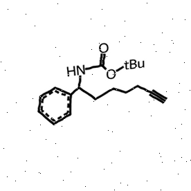 C#CCCCCC(NC(=O)OC(C)(C)C)c1ccccc1